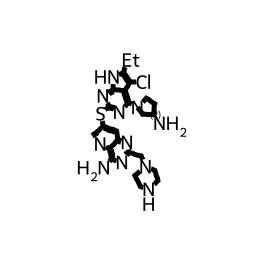 CCc1[nH]c2nc(Sc3cnc4c(N)nc(CN5CCNCC5)nc4c3)nc(N3CC[C@@H](N)C3)c2c1Cl